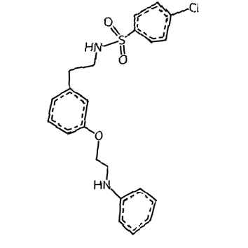 O=S(=O)(NCCc1cccc(OCCNc2ccccc2)c1)c1ccc(Cl)cc1